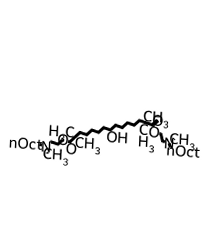 CCCCCCCCN(C)CCOC(=O)C(C)(C)CCCCCC(O)CCCCCC(C)(C)C(=O)OCCN(C)CCCCCCCC